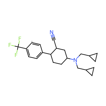 N#CC1CC(N(CC2CC2)CC2CC2)CCC1c1c[c]c(C(F)(F)F)cc1